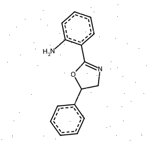 Nc1ccccc1C1=NCC(c2ccccc2)O1